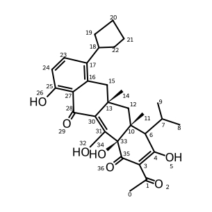 CC(=O)C1=C(O)C(C(C)C)[C@@]2(C)C[C@@]3(C)Cc4c(C5CCCC5)ccc(O)c4C(=O)C3=C(O)[C@@]2(O)C1=O